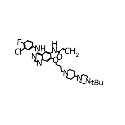 C=CC(=O)Nc1cc2c(Nc3ccc(F)c(Cl)c3)ncnc2cc1OCCCN1CCC(N2CCN(C(C)(C)C)CC2)CC1